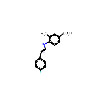 Cc1cc(C(=O)O)ccc1N/C=C/c1ccc(F)cc1